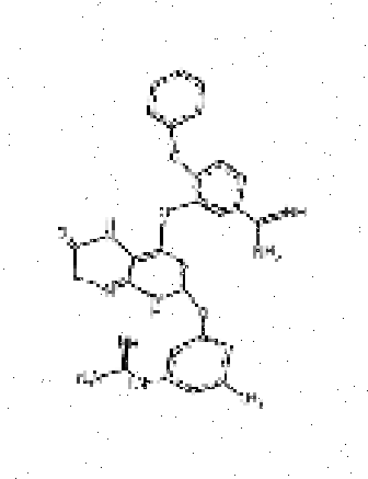 Cc1cc(NC(=N)N)cc(OC2=NC(Oc3cc(C(=N)N)ccc3Oc3ccccc3)=C3NC(=O)CN=C3N2)c1